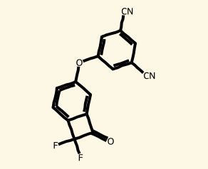 N#Cc1cc(C#N)cc(OC2=C=C=C3C(=C2)C(=O)C3(F)F)c1